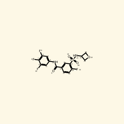 O=C(Nc1cc(F)c(F)c(F)c1)c1ccc(F)c(S(=O)(=O)NC2COC2)c1